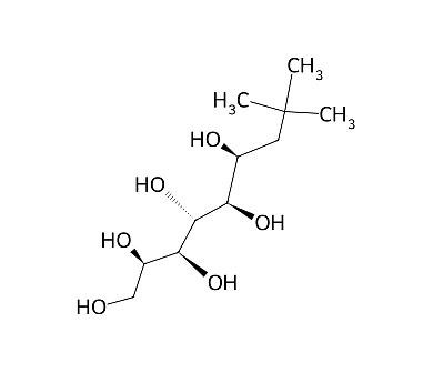 CC(C)(C)C[C@H](O)[C@@H](O)[C@@H](O)[C@@H](O)[C@H](O)CO